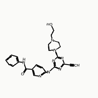 C#Cc1nc(Nc2ccc(C(=O)Nc3ccccc3)cn2)nc(N2CCN(CCO)CC2)n1